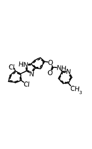 Cc1ccc(NC(=O)Oc2ccc3[nH]c(-c4c(Cl)cccc4Cl)nc3c2)nc1